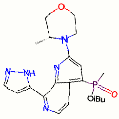 CC(C)COP(C)(=O)c1cc(N2CCOC[C@H]2C)nc2c(-c3ccn[nH]3)nccc12